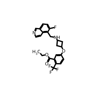 CCOC(=O)c1cc(OC2CC(NCc3c(F)ccc4cnccc34)C2)ccc1C(F)(F)F